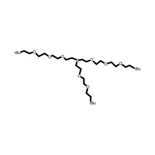 CC(C)(C)CCOCCOCCOCCN(CCOCCOCCOCCC(C)(C)C)CCOCCOCCC(C)(C)C